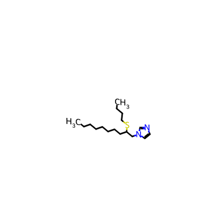 CCCCCCCCC(Cn1ccnc1)SCCCC